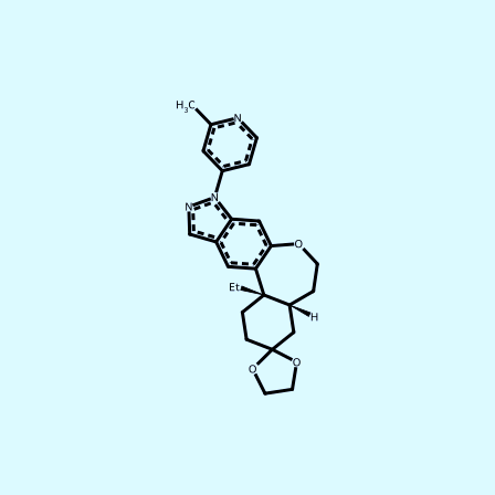 CC[C@]12CCC3(C[C@H]1CCOc1cc4c(cnn4-c4ccnc(C)c4)cc12)OCCO3